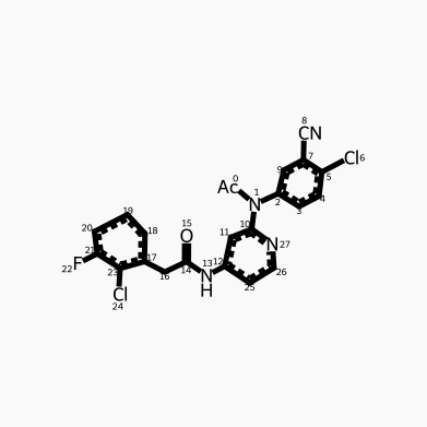 CC(=O)N(c1ccc(Cl)c(C#N)c1)c1cc(NC(=O)Cc2cccc(F)c2Cl)ccn1